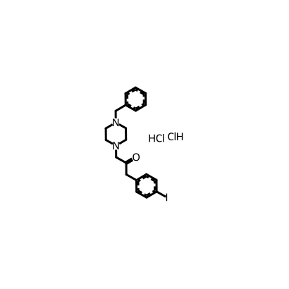 Cl.Cl.O=C(Cc1ccc(I)cc1)CN1CCN(Cc2ccccc2)CC1